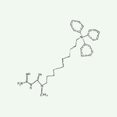 CN(CCCCCCCCCC[PH](c1ccccc1)(c1ccccc1)c1ccccc1)C(=N)NC(=N)N